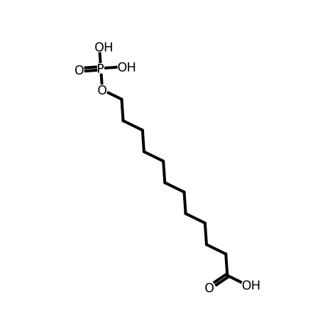 O=C(O)CCCCCCCCCCCOP(=O)(O)O